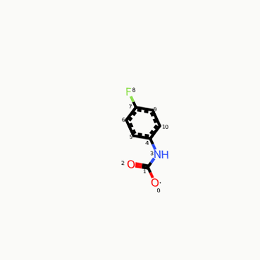 [O]C(=O)Nc1ccc(F)cc1